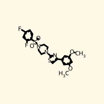 COc1cc(OC)cc(-c2csc(N3CCN(S(=O)(=O)c4ccc(F)cc4F)CC3)n2)c1